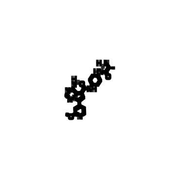 COc1cc(-c2cc(C(=O)NC3CCC(NC(=O)[C@H](C)N)CC3)c3c(N)ncnn23)ccn1